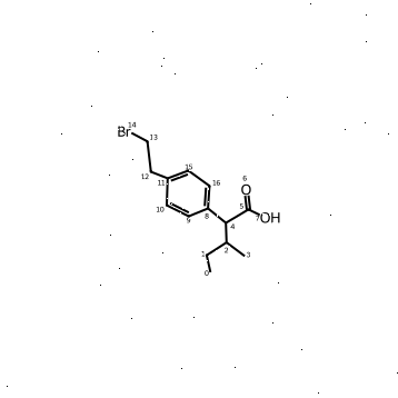 CCC(C)C(C(=O)O)c1ccc(CCBr)cc1